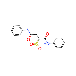 O=C(CC(C(=O)Nc1ccccc1)=S(=O)=O)Nc1ccccc1